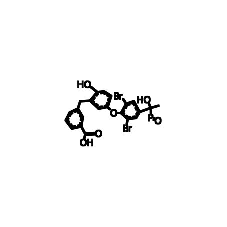 CC(O)(P=O)c1cc(Br)c(Oc2ccc(O)c(Cc3cccc(C(=O)O)c3)c2)c(Br)c1